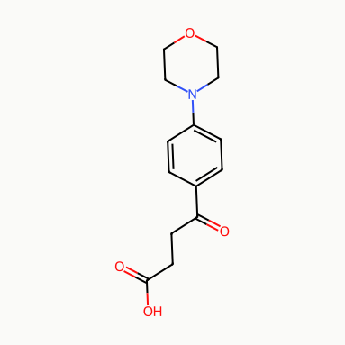 O=C(O)CCC(=O)c1ccc(N2CCOCC2)cc1